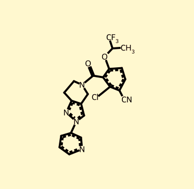 CC(Oc1ccc(C#N)c(Cl)c1C(=O)N1CCc2nn(-c3cccnc3)cc2C1)C(F)(F)F